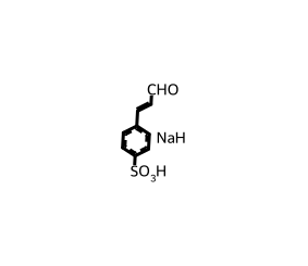 O=C/C=C/c1ccc(S(=O)(=O)O)cc1.[NaH]